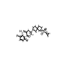 N[C@H]1C[C@@H](N2CCC3(CCN(S(=O)(=O)C4CC4)C3)C2)CO[C@@H]1c1cc(F)ccc1F